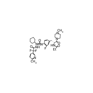 CCC(=O)N[C@H](Cc1ccc(NC(=O)N(NC(=O)C(F)(F)c2ccc(C)nc2)C2CCCCC2)c(F)c1)C(=O)N1CCN(C)CC1